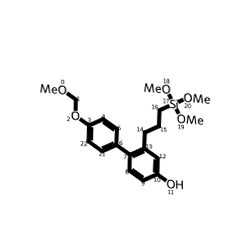 COCOc1ccc(-c2ccc(O)cc2CCC[Si](OC)(OC)OC)cc1